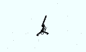 CCCCCCCCCCc1ccc(C(=O)CC(=O)CP(=O)(CCCCCC(C)C)CCCCCC(C)C)cc1